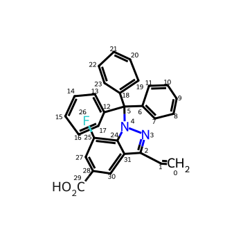 C=Cc1nn(C(c2ccccc2)(c2ccccc2)c2ccccc2)c2c(F)cc(C(=O)O)cc12